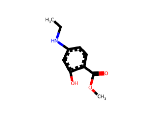 CCNc1ccc(C(=O)OC)c(O)c1